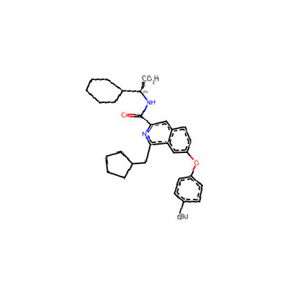 CC(C)(C)c1ccc(Oc2ccc3cc(C(=O)N[C@H](C(=O)O)C4CCCCC4)nc(CC4CCCC4)c3c2)cc1